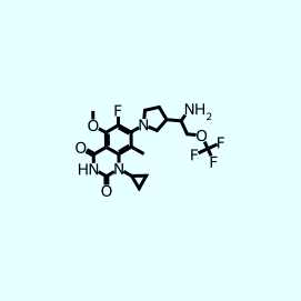 COc1c(F)c(N2CCC(C(N)COC(F)(F)F)C2)c(C)c2c1c(=O)[nH]c(=O)n2C1CC1